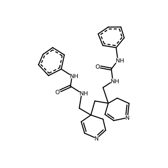 O=C(NCC1(CC2(CNC(=O)Nc3ccccc3)C=CN=CC2)C=CN=CC1)Nc1ccccc1